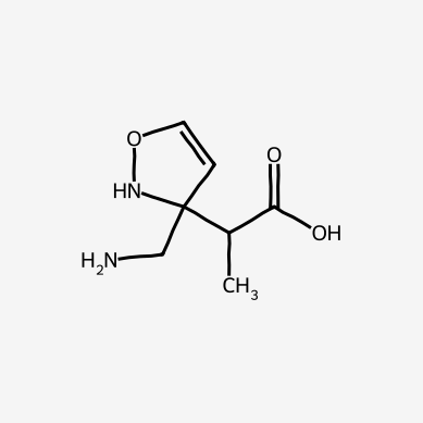 CC(C(=O)O)C1(CN)C=CON1